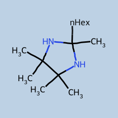 CCCCCCC1(C)NC(C)(C)C(C)(C)N1